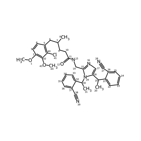 COc1ccc(CC(C)CCC(=O)[N]Cc2ncc(C(C)c3ccccc3C#N)n2C(C)c2ccccc2C#N)c(Cl)c1OC